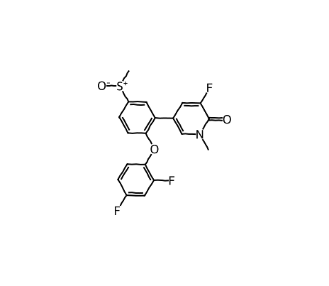 Cn1cc(-c2cc([S+](C)[O-])ccc2Oc2ccc(F)cc2F)cc(F)c1=O